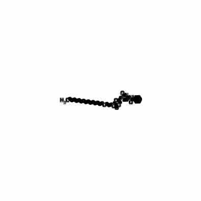 C=CCCCCCCCCCCCCCCOCCCOP1(=O)CO[C@@H](Cn2ccc(NC(=O)c3ccccc3)nc2=O)CO1